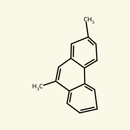 Cc1ccc2c(c1)cc(C)c1ccccc12